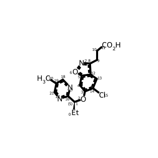 CC[C@H](Oc1cc2onc(CCC(=O)O)c2cc1Cl)c1ncc(C)cn1